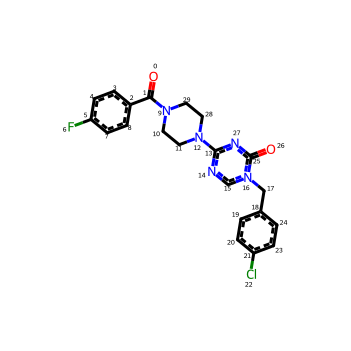 O=C(c1ccc(F)cc1)N1CCN(c2ncn(Cc3ccc(Cl)cc3)c(=O)n2)CC1